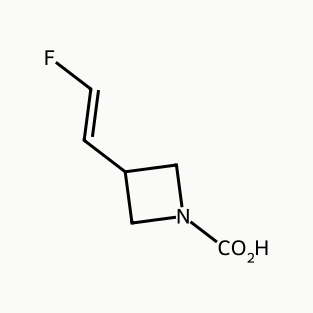 O=C(O)N1CC(C=CF)C1